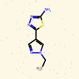 CCn1cc(-c2nnc(N)s2)cn1